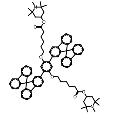 CN1C(C)(C)CC(OC(=O)CCCCCOc2cc(-c3ccc4c(c3)C3(c5ccccc5-c5ccccc53)c3ccccc3-4)c(OCCCCCC(=O)OC3CC(C)(C)N(C)C(C)(C)C3)cc2-c2ccc3c(c2)C2(c4ccccc4-c4ccccc42)c2ccccc2-3)CC1(C)C